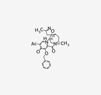 CC(=O)c1cn2c(c(OCc3ccccc3)c1=O)C(=O)N1C[C@@H]2[C@]2(CC[C@@H]1C)CC(C)=NO2